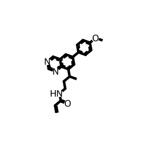 C=CC(=O)NCCC(C)c1cc(-c2ccc(OC)cc2)cc2cncnc12